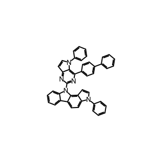 c1ccc(-c2ccc(-c3nc(-n4c5ccccc5c5ccc6c(ccn6-c6ccccc6)c54)nc4ccn(-c5ccccc5)c34)cc2)cc1